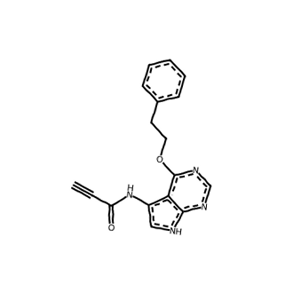 C#CC(=O)Nc1c[nH]c2ncnc(OCCc3ccccc3)c12